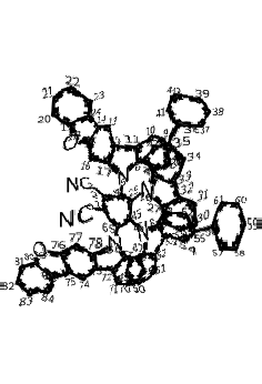 N#Cc1c(C#N)c(-n2c3ccccc3c3cc4c(cc32)oc2ccccc24)c(-n2c3ccccc3c3cc(-c4ccccc4)ccc32)c(-n2c3ccccc3c3cc(-c4ccccc4)ccc32)c1-n1c2ccccc2c2cc3c(cc21)oc1ccccc13